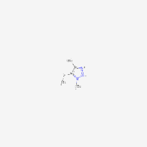 CCCCn1nnc(C(C)(C)C)c1CC(C)(C)C